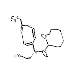 OC[C@@H](OC1CCCCO1)c1ccc(C(F)(F)F)cc1